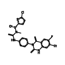 C=C1Nc2cc(CC)c(F)cc2C(=C)N1c1ccc(NC(=C)N(C)[S+]([O-])c2ccc(Cl)s2)cc1